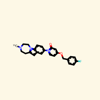 [11CH3]N1CCc2cc3cc(-n4ccc(OCc5ccc(F)cc5)cc4=O)ccc3n2CC1